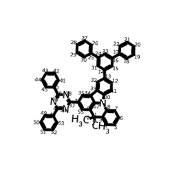 CC1(C)c2ccccc2-n2c3ccc(-c4cc(-c5ccccc5)cc(-c5ccccc5)c4)cc3c3cc(-c4nc(-c5ccccc5)nc(-c5ccccc5)n4)cc1c32